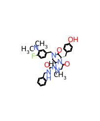 CN(C)c1cc(CN2C[C@H]3N(C(=O)CN(C)N3C(=O)NCc3ccccc3)[C@@H](Cc3ccc(O)cc3)C2=O)ccc1F